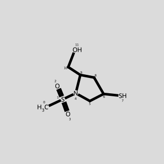 CS(=O)(=O)N1CC(S)CC1CO